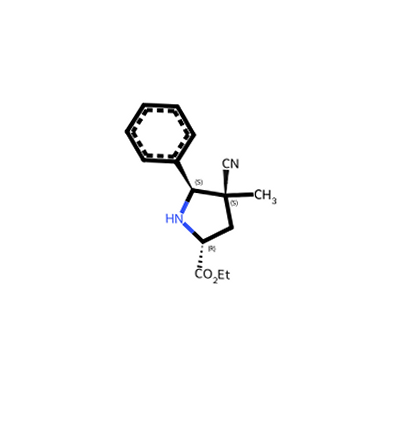 CCOC(=O)[C@H]1C[C@](C)(C#N)[C@H](c2ccccc2)N1